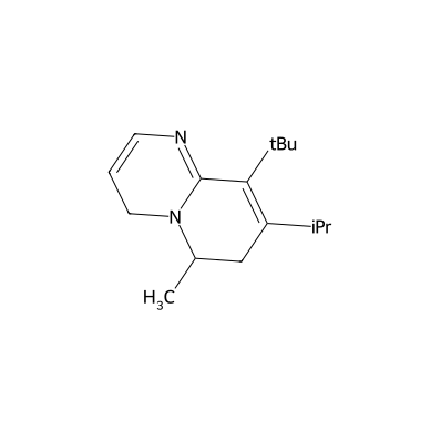 CC(C)C1=C(C(C)(C)C)C2=NC=CCN2C(C)C1